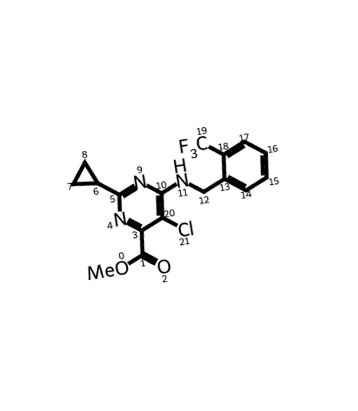 COC(=O)c1nc(C2CC2)nc(NCc2ccccc2C(F)(F)F)c1Cl